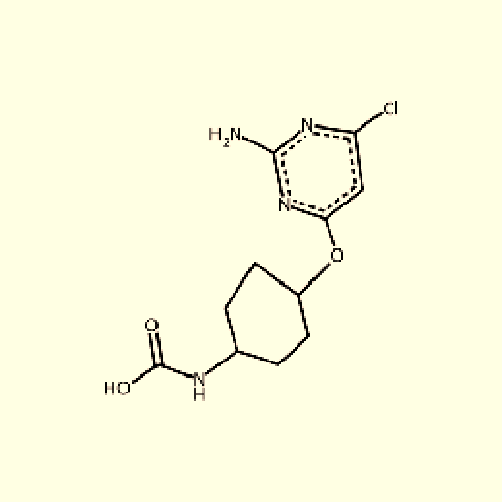 Nc1nc(Cl)cc(OC2CCC(NC(=O)O)CC2)n1